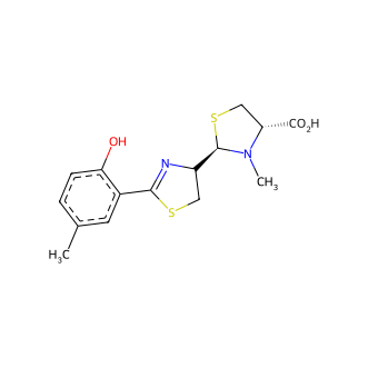 Cc1ccc(O)c(C2=NC([C@H]3SC[C@H](C(=O)O)N3C)CS2)c1